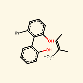 CC(C)c1cccc(O)c1-c1ccccc1O.CC=C(C)C(=O)O